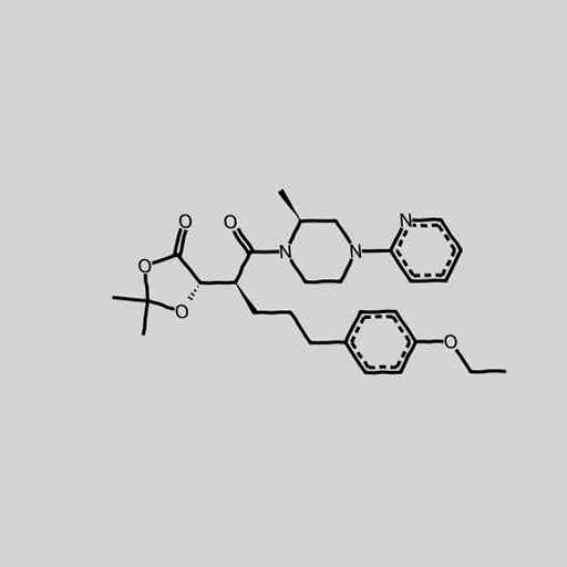 CCOc1ccc(CCC[C@H](C(=O)N2CCN(c3ccccn3)C[C@@H]2C)[C@@H]2OC(C)(C)OC2=O)cc1